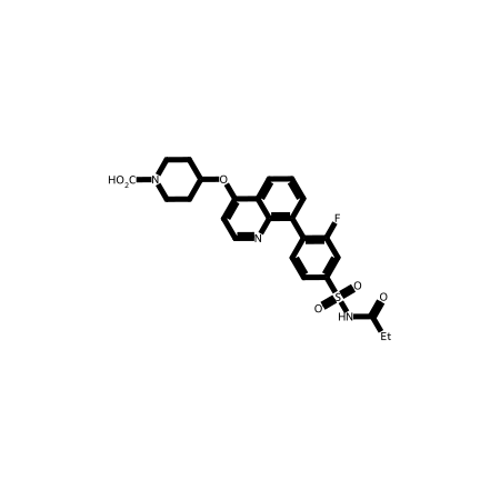 CCC(=O)NS(=O)(=O)c1ccc(-c2cccc3c(OC4CCN(C(=O)O)CC4)ccnc23)c(F)c1